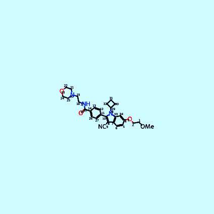 COCCOc1ccc2c(C#N)c(-c3ccc(C(=O)NCCN4CCOCC4)cc3)n(C3CCC3)c2c1